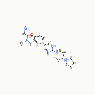 CN(Cc1cccc(-c2cnc(N3CCC(N4CCCC4)CC3)nc2)c1)C(=O)CN